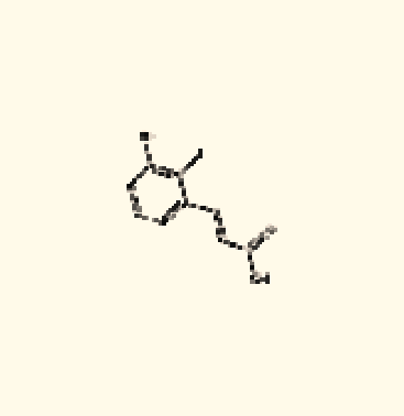 O=C(O)/C=C/c1cccc(O)c1I